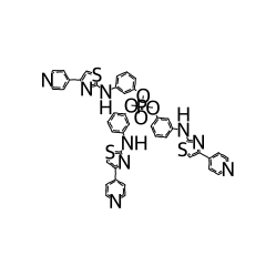 O=P(Oc1cccc(Nc2nc(-c3ccncc3)cs2)c1)(Oc1cccc(Nc2nc(-c3ccncc3)cs2)c1)Oc1cccc(Nc2nc(-c3ccncc3)cs2)c1